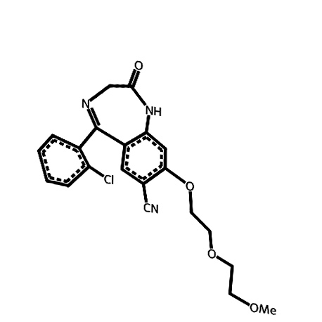 COCCOCCOc1cc2c(cc1C#N)C(c1ccccc1Cl)=NCC(=O)N2